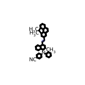 Cc1ccccc1N(c1ccc(C#N)cc1)c1ccc(/C=C/c2cc3c4c(ccc5cccc(c54)C3(C)C)c2)c2ccccc12